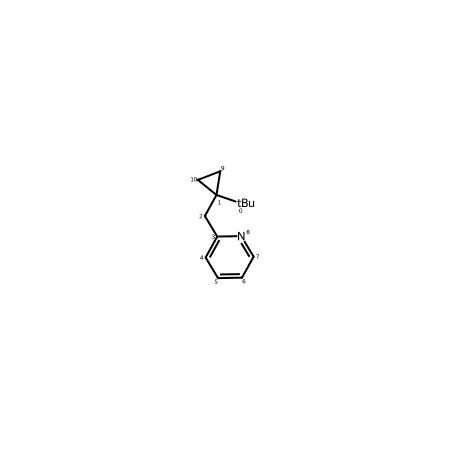 CC(C)(C)C1(Cc2ccccn2)CC1